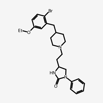 CCOc1ccc(Br)c(CC2CCN(CCC3CN(c4ccccc4)C(=O)N3)CC2)c1